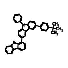 CC(C)(C)c1ccc(-c2ccc3c(c2)c2cc(-c4cccc5c4sc4ccccc45)ccc2n3-c2ccccc2)cc1